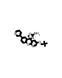 CC(C)(C)COc1cnc2c(c1)[C@]1(COC(N)=N1)c1cc(-c3cccnc3)ccc1O2